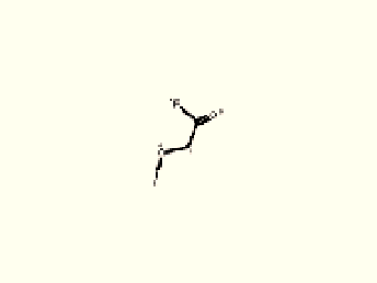 O=C(F)COI